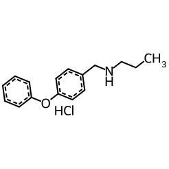 CCCNCc1ccc(Oc2ccccc2)cc1.Cl